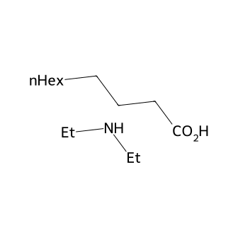 CCCCCCCCCC(=O)O.CCNCC